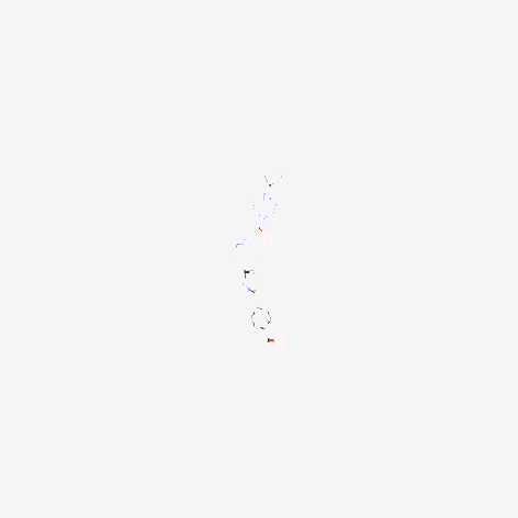 CC(=O)c1ccc(-c2nc3c(s2)CN(CC(=O)N2CCN(C4CCC4)CC2)CC3)cc1